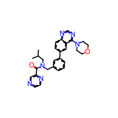 CC(C)CN(Cc1cccc(-c2ccc3ncnc(N4CCOCC4)c3c2)c1)C(=O)c1cnccn1